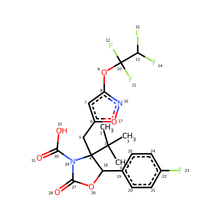 CC(C)(C)C1(Cc2cc(OC(F)(F)C(F)F)no2)C(c2ccc(F)cc2)OC(=O)N1C(=O)O